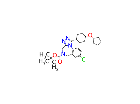 CC(C)(C)OC(=O)N1Cc2cc(Cl)ccc2-n2c(nnc2[C@H]2CC[C@@H](OC3CCCC3)CC2)C1